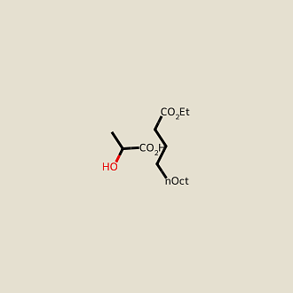 CC(O)C(=O)O.CCCCCCCCCCCC(=O)OCC